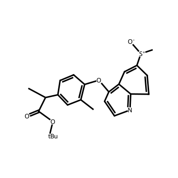 Cc1cc(C(C)C(=O)OC(C)(C)C)ccc1Oc1ccnc2ccc([S+](C)[O-])cc12